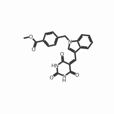 COC(=O)c1ccc(Cn2cc(C=C3C(=O)NC(=O)NC3=O)c3ccccc32)cc1